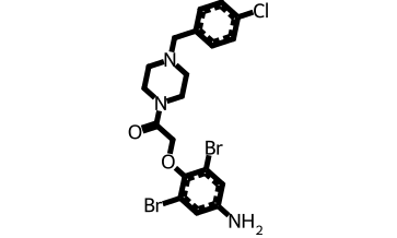 Nc1cc(Br)c(OCC(=O)N2CCN(Cc3ccc(Cl)cc3)CC2)c(Br)c1